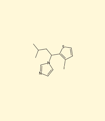 CC(C)CC(c1sccc1I)n1ccnc1